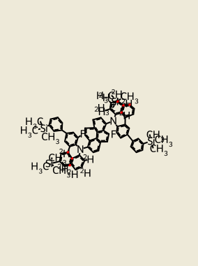 [2H]c1c([2H])c([2H])c(N(c2c(F)cc(-c3cccc([Si](C)(C)C)c3)cc2-c2cccc([Si](C)(C)C)c2)c2ccc3ccc4c(N(c5c(F)cc(-c6cccc([Si](C)(C)C)c6)cc5-c5cccc([Si](C)(C)C)c5)c5c([2H])c([2H])c([2H])c([2H])c5[2H])ccc5ccc2c3c54)c([2H])c1[2H]